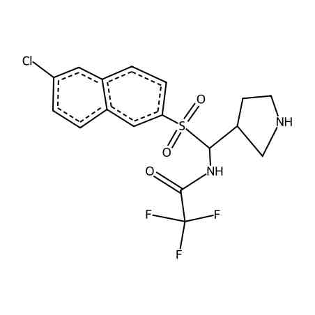 O=C(NC(C1CCNC1)S(=O)(=O)c1ccc2cc(Cl)ccc2c1)C(F)(F)F